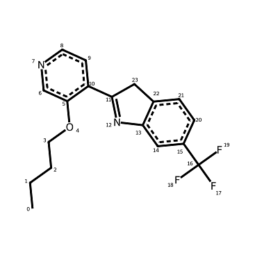 CCCCOc1cnccc1C1=Nc2cc(C(F)(F)F)ccc2C1